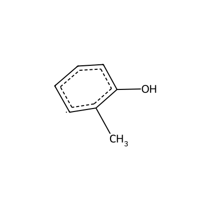 Cc1[c]cccc1O